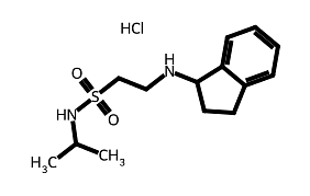 CC(C)NS(=O)(=O)CCNC1CCc2ccccc21.Cl